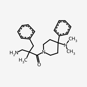 CN(C)C1(c2ccccc2)CCN(C(=O)C(C)(CN)Cc2ccccc2)CC1